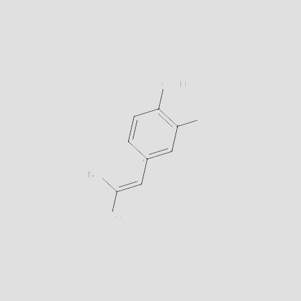 CCOC(=O)C(C#N)=Cc1ccc(C(=O)O)c(O)c1